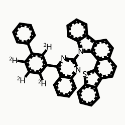 [2H]c1c([2H])c(-c2ccccc2)c([2H])c(-c2nc(-n3c4ccccc4c4ccc5ccc6c7ccccc7sc6c5c43)nc3ccccc23)c1[2H]